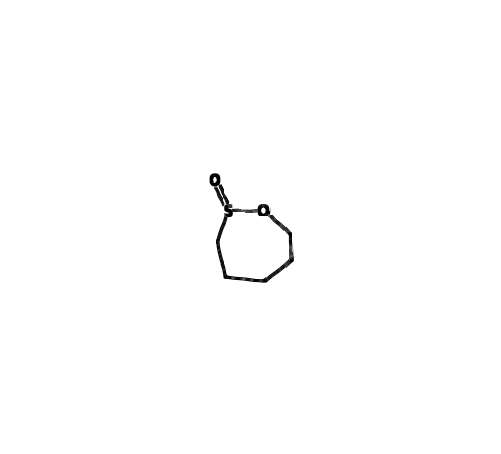 O=S1CCCCCO1